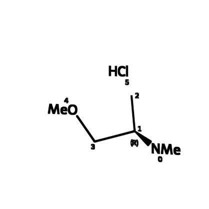 CN[C@H](C)COC.Cl